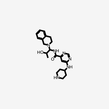 CC(O)C(NC(=O)c1cc(NC2CCNCC2)ncn1)N1CCc2ccccc2C1